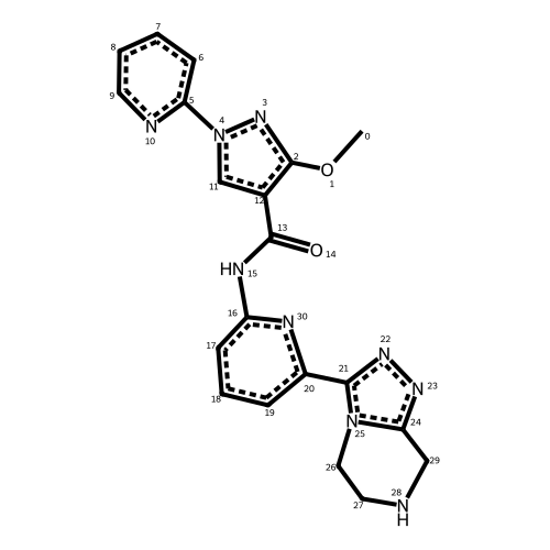 COc1nn(-c2ccccn2)cc1C(=O)Nc1cccc(-c2nnc3n2CCNC3)n1